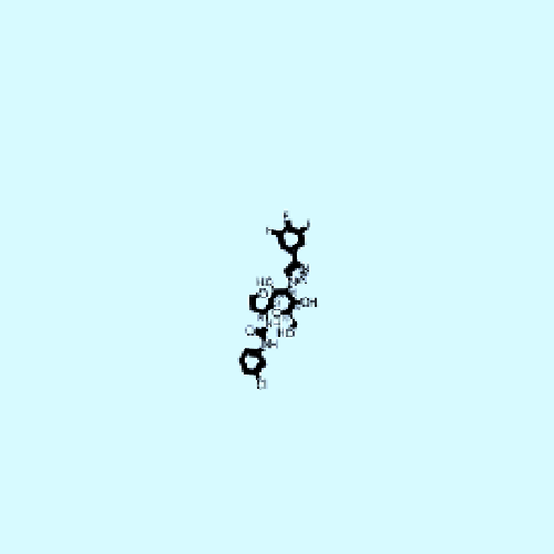 O=C(Nc1cccc(Cl)c1)N[C@@H]1CCO[C@]12O[C@H](CO)[C@H](O)[C@H](n1cc(-c3cc(F)c(F)c(F)c3)nn1)[C@H]2O